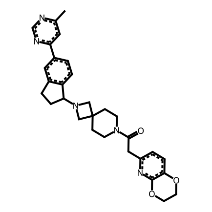 Cc1cc(-c2ccc3c(c2)CCC3N2CC3(CCN(C(=O)Cc4ccc5c(n4)OCCO5)CC3)C2)ncn1